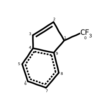 FC(F)(F)C1C=Cc2c[c]ccc21